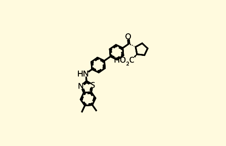 Cc1cc2nc(Nc3ccc(-c4ccc(C(=O)[C@@H]5CCC[C@H]5C(=O)O)cc4)cc3)sc2cc1C